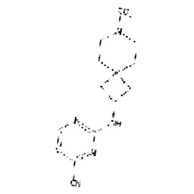 N#Cc1ncnc(NC2CC3(CCN(C(=O)O)CC3)C2)n1